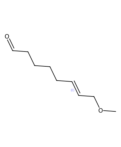 COC/C=C/CCCCC=O